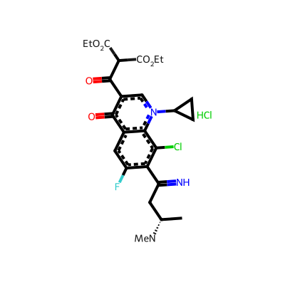 CCOC(=O)C(C(=O)OCC)C(=O)c1cn(C2CC2)c2c(Cl)c(C(=N)C[C@H](C)NC)c(F)cc2c1=O.Cl